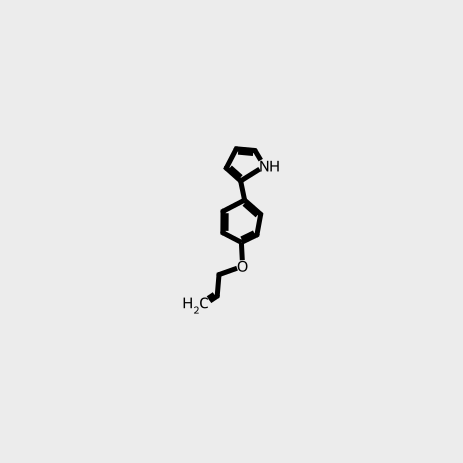 C=CCOc1ccc(-c2ccc[nH]2)cc1